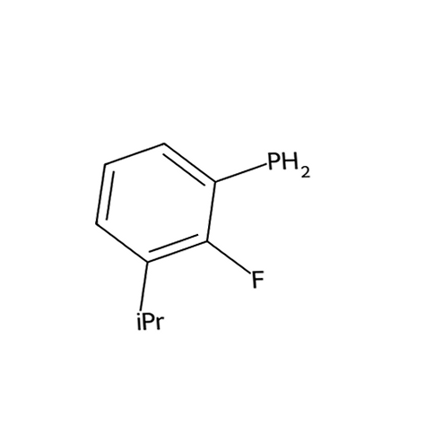 CC(C)c1cccc(P)c1F